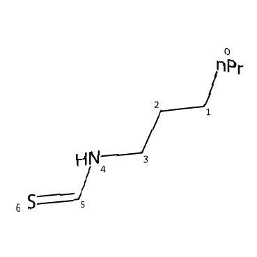 CCCCCCNC=S